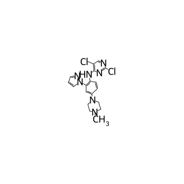 CN1CCN(c2ccc(Nc3nc(Cl)ncc3Cl)c(-n3cccn3)c2)CC1